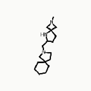 CN1CC2(CCC(CN3CCC4(CCCCC4)C3)N2)C1